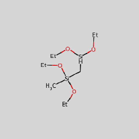 CCO[SiH](C[Si](C)(OCC)OCC)OCC